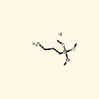 CO[Si](CCCN)(OC)OC.I